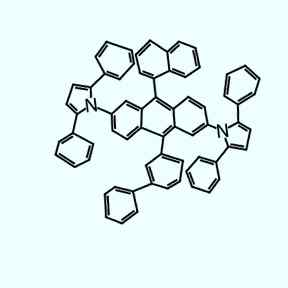 c1ccc(-c2cccc(-c3c4cc(-n5c(-c6ccccc6)ccc5-c5ccccc5)ccc4c(-c4cccc5ccccc45)c4cc(-n5c(-c6ccccc6)ccc5-c5ccccc5)ccc34)c2)cc1